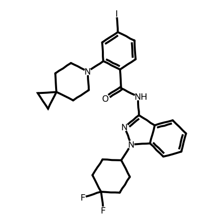 O=C(Nc1nn(C2CCC(F)(F)CC2)c2ccccc12)c1ccc(I)cc1N1CCC2(CC1)CC2